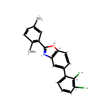 COc1ccc([N+](=O)[O-])cc1-c1nc2cc(-c3cccc(F)c3F)ccc2o1